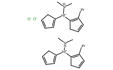 CC(C)C1=[C]([Hf+]([C]2=CC=CC2)[SiH](C)C)CC=C1.CC(C)C1=[C]([Hf+]([C]2=CC=CC2)[SiH](C)C)CC=C1.[Cl-].[Cl-]